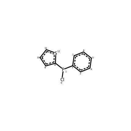 ClP(c1ccccc1)c1cccs1